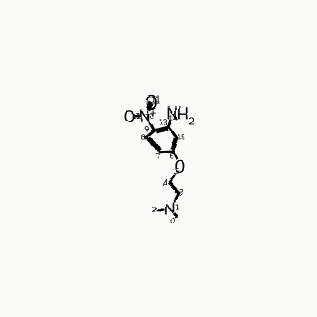 CN(C)CCOc1ccc([N+](=O)[O-])c(N)c1